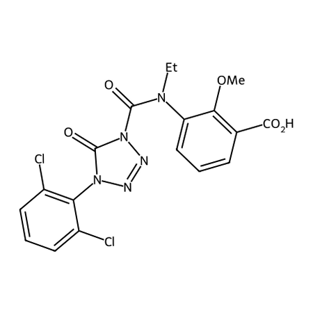 CCN(C(=O)n1nnn(-c2c(Cl)cccc2Cl)c1=O)c1cccc(C(=O)O)c1OC